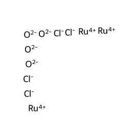 [Cl-].[Cl-].[Cl-].[Cl-].[O-2].[O-2].[O-2].[O-2].[Ru+4].[Ru+4].[Ru+4]